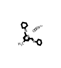 Cc1cc(C=NC2CCCCC2)nc(C=NC2CCCCC2)c1.[Cl-].[Cl-].[Cl-].[V+3]